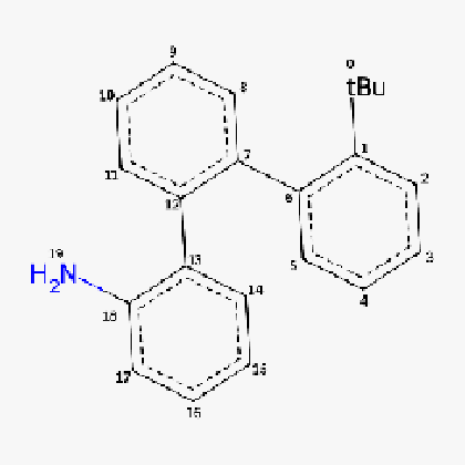 CC(C)(C)c1ccccc1-c1ccccc1-c1ccccc1N